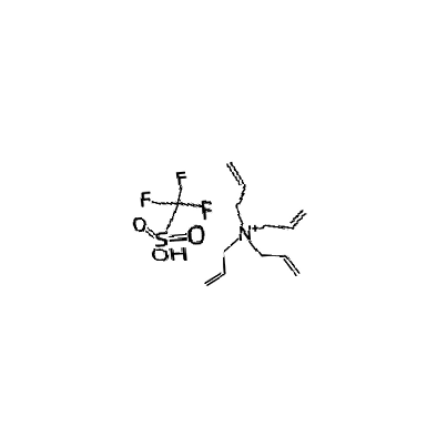 C=CC[N+](CC=C)(CC=C)CC=C.O=S(=O)(O)C(F)(F)F